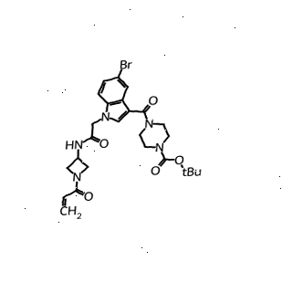 C=CC(=O)N1CC(NC(=O)Cn2cc(C(=O)N3CCN(C(=O)OC(C)(C)C)CC3)c3cc(Br)ccc32)C1